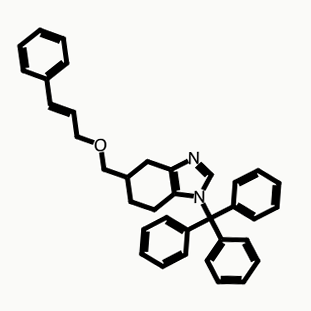 C(=Cc1ccccc1)COCC1CCc2c(ncn2C(c2ccccc2)(c2ccccc2)c2ccccc2)C1